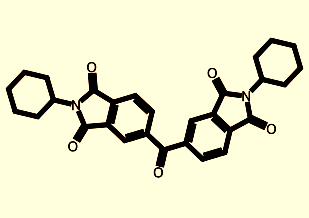 O=C(c1ccc2c(c1)C(=O)N(C1CCCCC1)C2=O)c1ccc2c(c1)C(=O)N(C1CCCCC1)C2=O